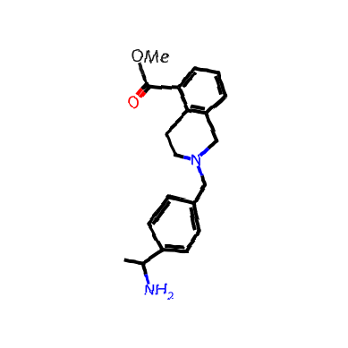 COC(=O)c1cccc2c1CCN(Cc1ccc(C(C)N)cc1)C2